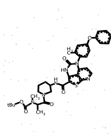 Cc1cc(Oc2ccccc2)ccc1N1C(=O)Nc2c(C(=O)NC3CCCN(C(=O)C(C)N(C)C(=O)OC(C)(C)C)C3)sc3nccc1c23